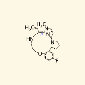 C=C/C1=C2/N=C(C=CN2C)N2CCCC2c2cc(F)ccc2OCCCNC1